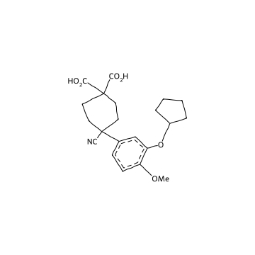 COc1ccc(C2(C#N)CCC(C(=O)O)(C(=O)O)CC2)cc1OC1CCCC1